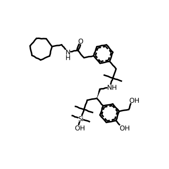 CC(C)(Cc1cccc(CC(=O)NCC2CCCCCC2)c1)NC[C@H](CC(C)(C)[Si](C)(C)O)c1ccc(O)c(CO)c1